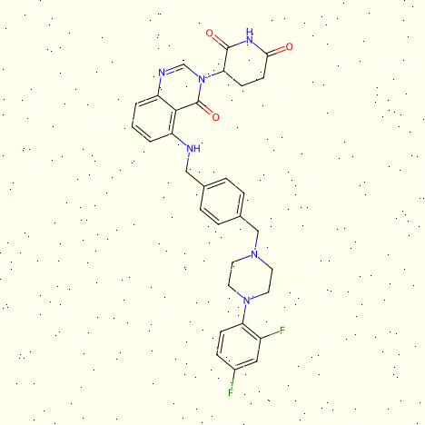 O=C1CCC(n2cnc3cccc(NCc4ccc(CN5CCN(c6ccc(F)cc6F)CC5)cc4)c3c2=O)C(=O)N1